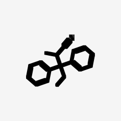 CCC(c1ccccc1)(c1ccccc1)C(C)C#N